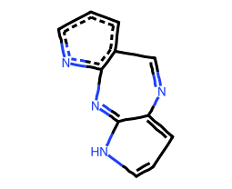 C1=CNC2=Nc3ncccc3C=NC2=C1